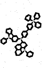 c1ccc(-n2c3ccccc3c3cc(N(c4ccc(-c5ccc([Si](c6ccccc6)(c6ccccc6)c6ccccc6)cc5)cc4)c4ccc5c6c4ccc4cccc(c46)n5-c4ccccc4)ccc32)cc1